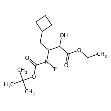 CCOC(=O)C(O)C(CC1CCC1)N(F)C(=O)OC(C)(C)C